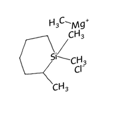 CC1CCCC[Si]1(C)C.[CH3][Mg+].[Cl-]